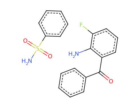 NS(=O)(=O)c1ccccc1.Nc1c(F)cccc1C(=O)c1ccccc1